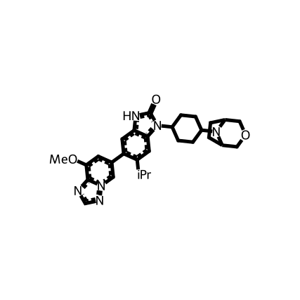 COc1cc(-c2cc3[nH]c(=O)n(C4CCC(N5C6CCC5COC6)CC4)c3cc2C(C)C)cn2ncnc12